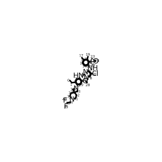 CCc1cc(Nc2ncc(Cl)c(Nc3ccc(C)c(C)c3P(C)(C)=O)n2)c(OC)cc1N1CC2(CCN(CC(F)F)CC2)C1